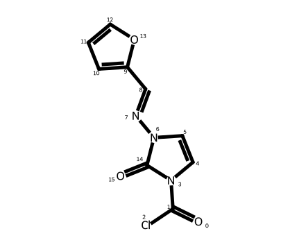 O=C(Cl)n1ccn(N=Cc2ccco2)c1=O